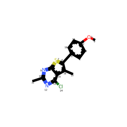 COc1ccc(-c2sc3nc(C)nc(Cl)c3c2C)cc1